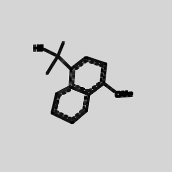 COc1ccc(C(C)(C)S)c2ccccc12